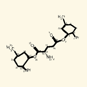 CC1CCC(C(C)C)C(OC(=O)CC[C@H](N)C(=O)OC2CC(C)CCC2C(C)C)C1